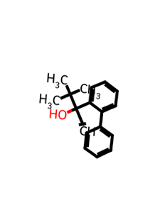 C#CC(O)(c1ccccc1-c1ccccc1)C(C)(C)C